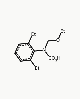 CCOCN(C(=O)O)c1c(CC)cccc1CC